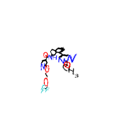 COc1ncc(-c2cccc3c2C[C@H](NC(=O)c2ccnc(OCCOCC(F)(F)F)c2)CC3)cn1